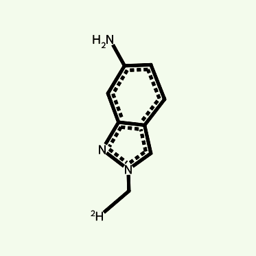 [2H]Cn1cc2ccc(N)cc2n1